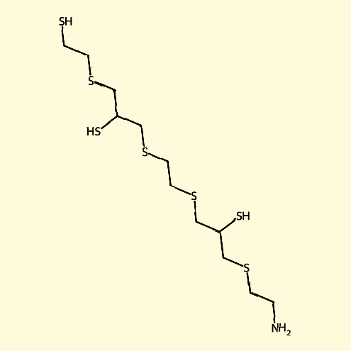 NCCSCC(S)CSCCSCC(S)CSCCS